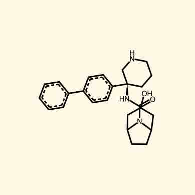 O=C(N[C@]1(c2ccc(-c3ccccc3)cc2)CCCNC1)N1C2CCC1CC(O)C2